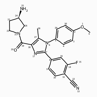 COc1ccc(-n2c(-c3ccc(C#N)c(F)c3)nc(C(=O)N3CC[C@@H](N)C3)c2C)cc1